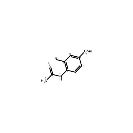 COc1ccc(NC(N)=S)c(C)c1